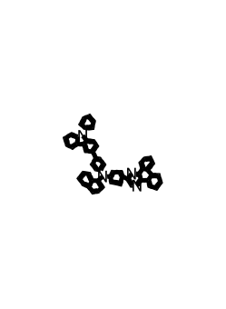 c1ccc(-n2c3ccccc3c3cc(-c4ccc(N(c5ccc(-c6cnc7c8ccccc8c8ccccc8c7n6)cc5)c5cccc6ccccc56)cc4)ccc32)cc1